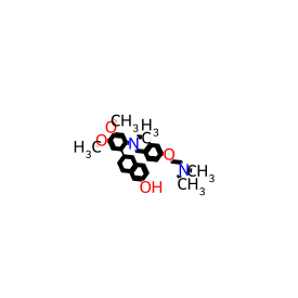 CCN(C)CCOc1ccc(CN(CC)C2C=C(OC)C(OC)=CC2[C@@H]2CCc3cc(O)ccc3C2)cc1